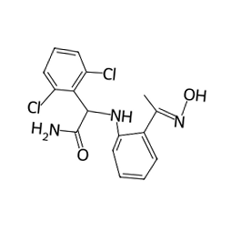 C/C(=N\O)c1ccccc1NC(C(N)=O)c1c(Cl)cccc1Cl